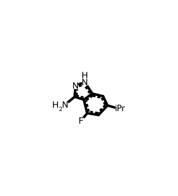 CC(C)c1cc(F)c2c(N)n[nH]c2c1